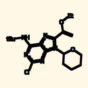 C=C(OCC)c1nc2c(NC(C)(C)C)nc(Cl)nc2n1C1CCCCO1